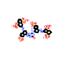 O=c1nc(Nc2ccc(/N=N/c3cc(S(=O)(=O)O)c4cccc(S(=O)(=O)O)c4c3)c3ccc(S(=O)(=O)O)cc23)[nH]c(Nc2ccc(/N=N/c3cc(S(=O)(=O)O)c4cccc(S(=O)(=O)O)c4c3)c3ccc(S(=O)(=O)O)cc23)n1